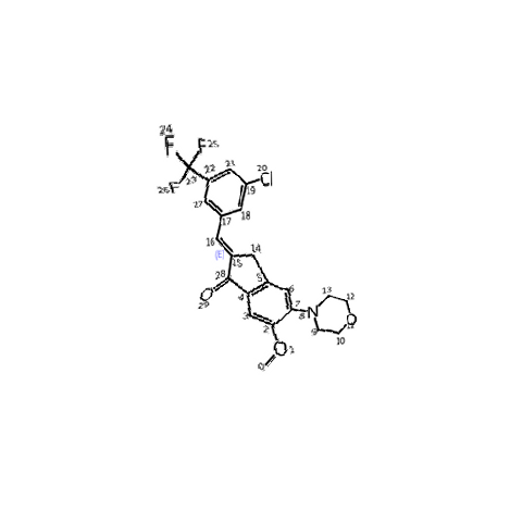 COc1cc2c(cc1N1CCOCC1)C/C(=C\c1cc(Cl)cc(C(F)(F)F)c1)C2=O